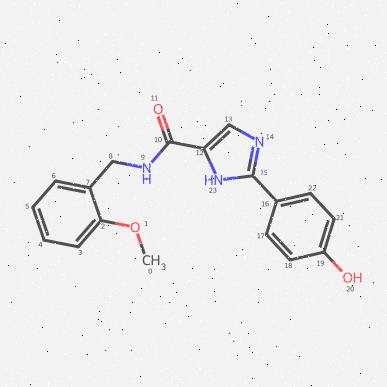 COc1ccccc1CNC(=O)c1cnc(-c2ccc(O)cc2)[nH]1